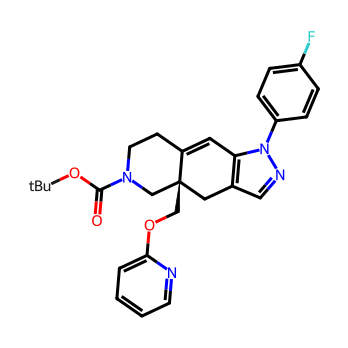 CC(C)(C)OC(=O)N1CCC2=Cc3c(cnn3-c3ccc(F)cc3)C[C@]2(COc2ccccn2)C1